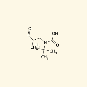 CC(C=O)CN(C(=O)O)C(C)(C)C